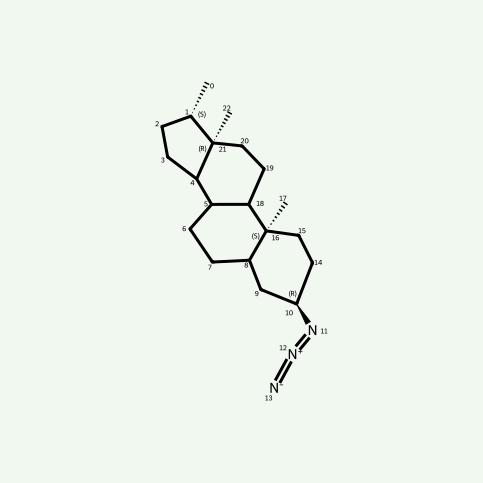 C[C@H]1CCC2C3CCC4C[C@H](N=[N+]=[N-])CC[C@]4(C)C3CC[C@@]21C